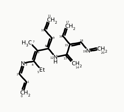 C=C\C=N/C(CC)=C(C)/C(=C\C=C)NC(=C)/C(C=C)=C\N=C